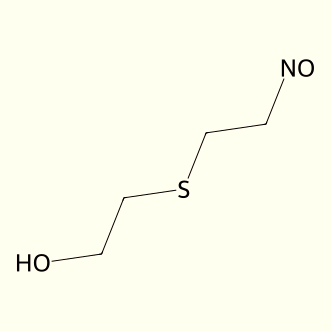 O=NCCSCCO